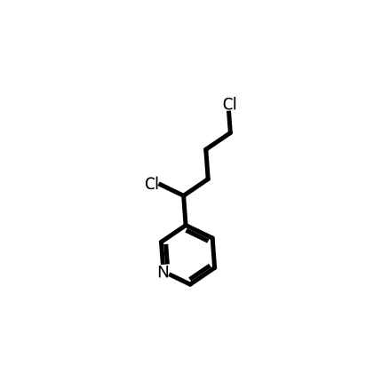 ClCCCC(Cl)c1cccnc1